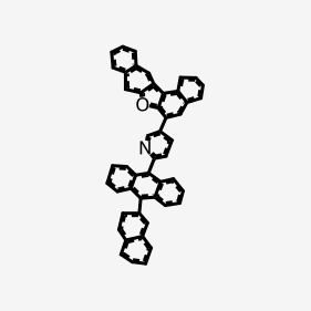 c1ccc2cc(-c3c4ccccc4c(-c4ccc(-c5cc6ccccc6c6c5oc5cc7ccccc7cc56)cn4)c4ccccc34)ccc2c1